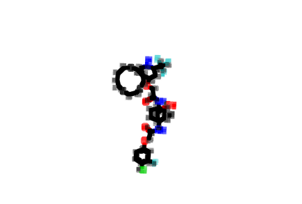 O=C(COc1ccc(Cl)c(F)c1)NC12CCC(NC(=O)COC3CC(C(F)(F)F)NCC34CCCCCCCCCCC4)(CC1)[C@@H](O)C2